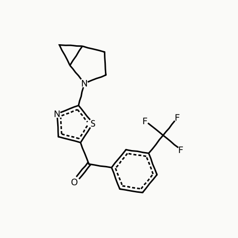 O=C(c1cccc(C(F)(F)F)c1)c1cnc(N2CCC3CC32)s1